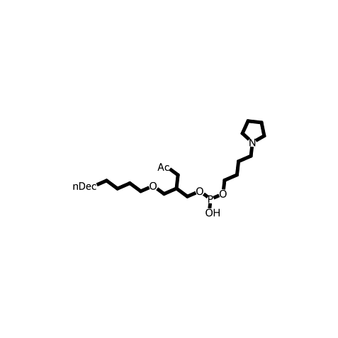 CCCCCCCCCCCCCCOCC(COP(O)OCCCCN1CCCC1)CC(C)=O